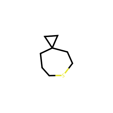 C1CSCCC2(C1)CC2